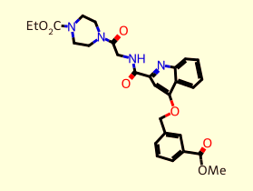 CCOC(=O)N1CCN(C(=O)CNC(=O)c2cc(OCc3cccc(C(=O)OC)c3)c3ccccc3n2)CC1